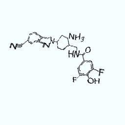 N.N#Cc1ccc2cn(C3CCC(CNC(=O)c4cc(F)c(O)c(F)c4)CC3)nc2c1